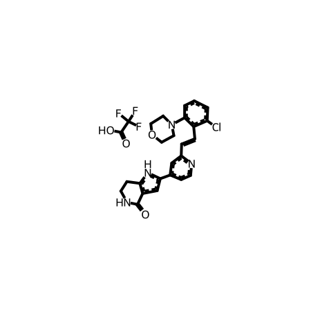 O=C(O)C(F)(F)F.O=C1NCCc2[nH]c(-c3ccnc(C=Cc4c(Cl)cccc4N4CCOCC4)c3)cc21